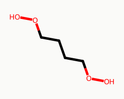 OOCCCCOO